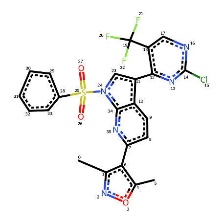 Cc1noc(C)c1-c1ccc2c(-c3nc(Cl)ncc3C(F)(F)F)cn(S(=O)(=O)c3ccccc3)c2n1